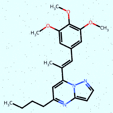 CCCCc1cc(C(C)=Cc2cc(OC)c(OC)c(OC)c2)n2nccc2n1